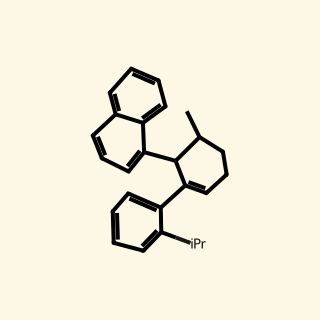 CC(C)c1ccccc1C1=CCCC(C)C1c1cccc2ccccc12